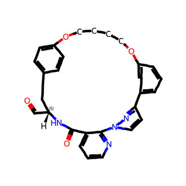 O=C[C@@H]1Cc2ccc(cc2)OCCCCOc2cccc(c2)-c2ccn(n2)-c2ncccc2C(=O)N1